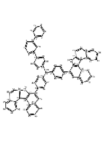 c1ccc(-c2cccc(-c3ccc(N(c4ccc(-c5cc6ccccc6c6c5oc5ccc7ccccc7c56)cc4)c4ccc(-c5cc6ccccc6c6c5oc5ccc7ccccc7c56)cc4)cc3)c2)cc1